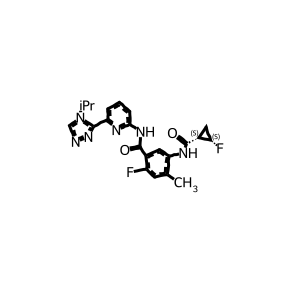 Cc1cc(F)c(C(=O)Nc2cccc(-c3nncn3C(C)C)n2)cc1NC(=O)[C@@H]1C[C@@H]1F